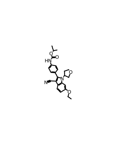 CCOc1ccc2c(C#N)c(-c3ccc(NC(=O)OC(C)C)cc3)n(C3CCOC3)c2c1